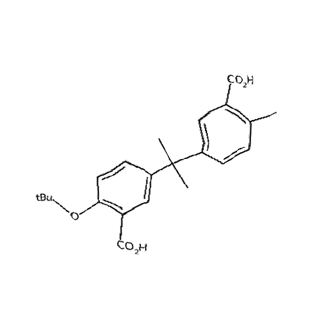 Cc1ccc(C(C)(C)c2ccc(OC(C)(C)C)c(C(=O)O)c2)cc1C(=O)O